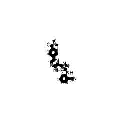 CN(C)C(=O)c1ccc(-c2cnc(N)c(-c3nnc(Nc4ccccc4C#N)o3)n2)cc1